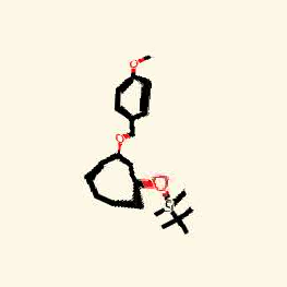 COc1ccc(CO[C@@H]2/C=C\CCCC(O[Si](C)(C)C(C)(C)C)C2)cc1